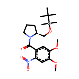 COc1cc(C(=O)N2CCC[C@H]2CO[Si](C)(C)C(C)(C)C)c([N+](=O)[O-])cc1OC